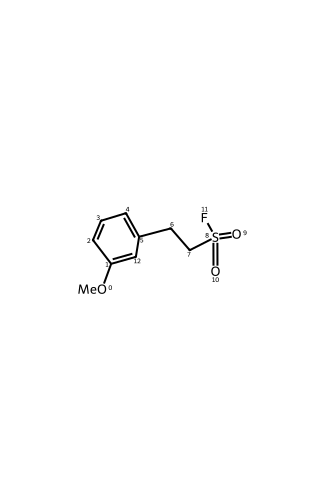 COc1cccc(CCS(=O)(=O)F)c1